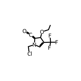 CCOC1C(=C=O)N(CCl)C=C1C(F)(F)F